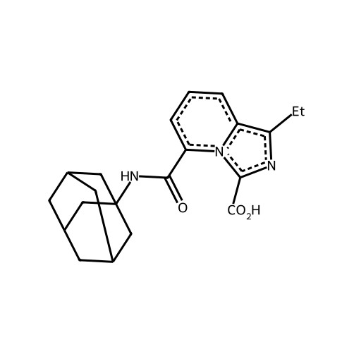 CCc1nc(C(=O)O)n2c(C(=O)NC34CC5CC(CC(C5)C3)C4)cccc12